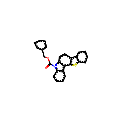 O=C(OCc1ccccc1)n1c2ccccc2c2c3sc4ccccc4c3ccc21